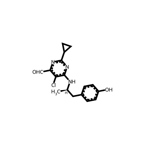 C[C@H](Cc1ccc(O)cc1)Nc1nc(C2CC2)nc(C=O)c1Cl